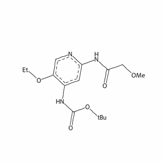 CCOc1cnc(NC(=O)COC)cc1NC(=O)OC(C)(C)C